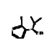 CN(C)[C@@H](C=O)c1ccccc1F